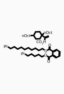 C=C(C(=O)O)C1(CCCCCCCC)CCC(CCCCCCCC)CC1.CC(C)CCCCCCCCCCOC(=O)c1ccccc1C(=O)OCCCCCC(C)C